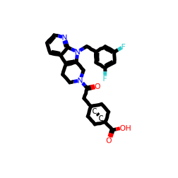 O=C(CC12CCC(C(=O)O)(CC1)CC2)N1CCc2c(n(Cc3cc(F)cc(F)c3)c3ncccc23)C1